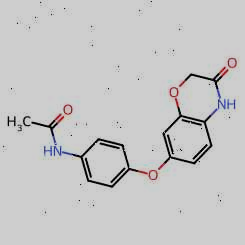 CC(=O)Nc1ccc(Oc2ccc3c(c2)OCC(=O)N3)cc1